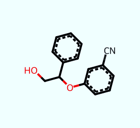 N#Cc1cccc(OC(CO)c2ccccc2)c1